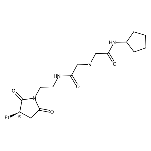 CC[C@@H]1CC(=O)N(CCNC(=O)CSCC(=O)NC2CCCC2)C1=O